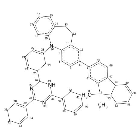 CC1(C)c2cc(-c3ccc4c(c3)CCc3ccccc3N4C3=CC=CC(C4N=C(C5=CCCC=C5)N=C(C5=CC=CCC5)N4)C3)ccc2C2C=CC=CC21